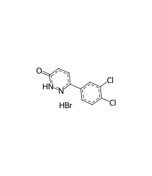 Br.O=c1ccc(-c2ccc(Cl)c(Cl)c2)n[nH]1